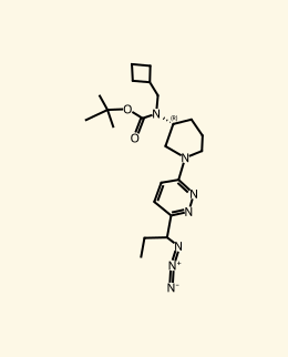 CCC(N=[N+]=[N-])c1ccc(N2CCC[C@@H](N(CC3CCC3)C(=O)OC(C)(C)C)C2)nn1